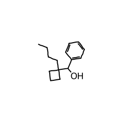 CCCCC1(C(O)c2ccccc2)CCC1